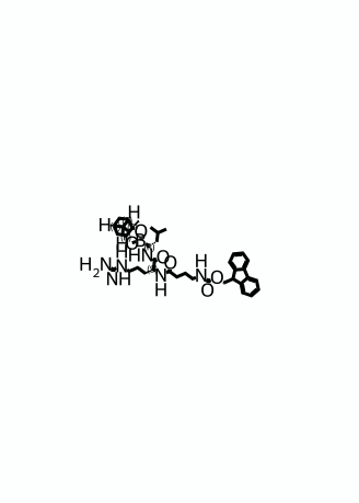 CC(C)C[C@H](NC(=O)[C@H](CCCNC(=N)N)NC(=O)CCCNC(=O)OCC1c2ccccc2-c2ccccc21)B1O[C@@H]2C[C@@H]3C[C@@H](C3(C)C)[C@]2(C)O1